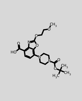 COCCOc1nc2c(C(=O)O)ccc(N3CCN(C(=O)OC(C)(C)C)CC3)c2o1